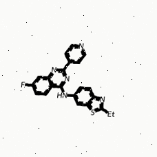 CCc1nc2ccc(Nc3nc(-c4ccncc4)nc4cc(F)ccc34)cc2s1